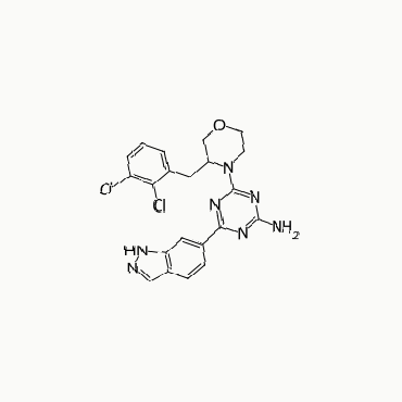 Nc1nc(-c2ccc3cn[nH]c3c2)nc(N2CCOCC2Cc2cccc(Cl)c2Cl)n1